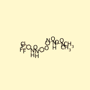 CN(C)C(=O)CONC(=O)c1cc(Oc2ccc(NC(=O)Nc3ccc(Cl)c(C(F)(F)F)c3)cc2)ccn1